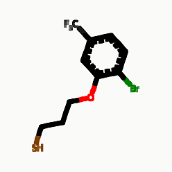 FC(F)(F)c1ccc(Br)c(OCCCS)c1